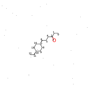 CCC(=O)CCC[C@H]1CC[C@@H](CC)CC1